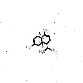 CC1=CC[C@H]2C(C)=CC[C@@H](C(C)C)[C@@H]2C1